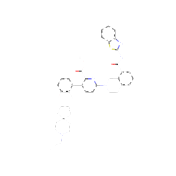 Cc1c(O[C@@H]2CCC3(CCN(CC(=O)O)CC3)C2)cccc1-c1ccc(N2CCc3cccc(C(=O)Nc4nc5ccccc5s4)c3C2)nc1C(=O)OC(C)(C)C